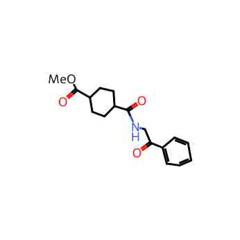 COC(=O)C1CCC(C(=O)NCC(=O)c2ccccc2)CC1